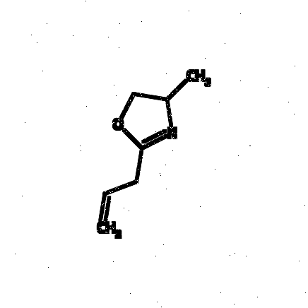 C=CCC1=NC(C)CO1